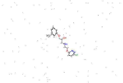 Cc1cccc(OCC(O)CNCCOc2ccc(Cl)nn2)c1